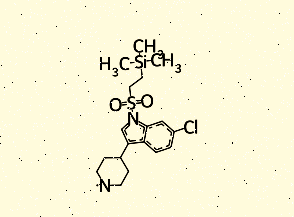 C[Si](C)(C)CCS(=O)(=O)n1cc(C2CC[N]CC2)c2ccc(Cl)cc21